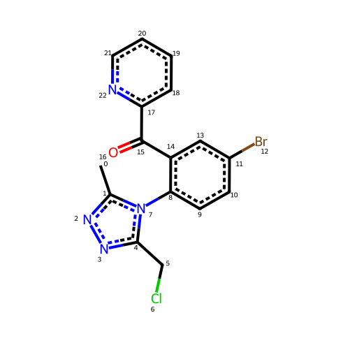 Cc1nnc(CCl)n1-c1ccc(Br)cc1C(=O)c1ccccn1